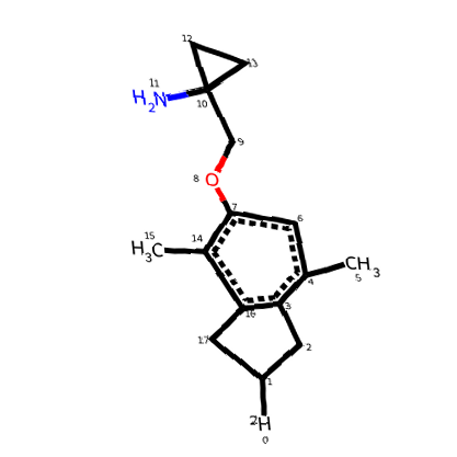 [2H]C1Cc2c(C)cc(OCC3(N)CC3)c(C)c2C1